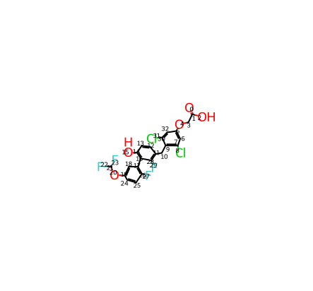 O=C(O)COc1cc(Cl)c(Cc2ccc(O)c(-c3cc(OC(F)F)ccc3F)c2F)c(Cl)c1